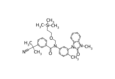 Cc1ccc(N(COCC[Si](C)(C)C)C(=O)c2cccc(C(C)(C)C#N)c2)cc1-n1c(=O)n(C)c2ccccc21